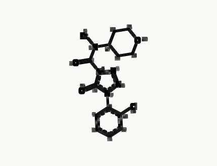 CCN(C(=O)n1nnn(-c2ccccc2Cl)c1=O)C1CCOCC1